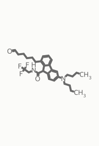 CCCCN(CCCC)c1ccc2c(c1)-c1cccc(CCCCCC=O)c1C2C(=O)NCC(F)(F)F